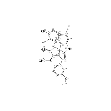 CCOc1cccc(CN2[C@@H](CC=O)[C@@H](N)[C@H](c3cccc(Cl)c3F)[C@]23C(=O)Nc2cc(Cl)ccc23)c1